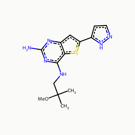 COC(C)(C)CNc1nc(N)nc2cc(-c3ccn[nH]3)sc12